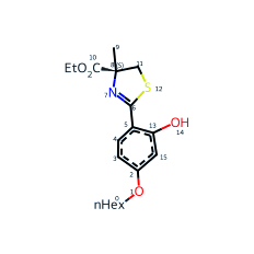 CCCCCCOc1ccc(C2=N[C@@](C)(C(=O)OCC)CS2)c(O)c1